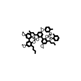 CCCCc1cc(OC)cc(-c2cc(OC)cc(CCCC)c2Op2oc3ccc(OC)cc3c3cc(OC)cc(CCCC)c3o2)c1OP(Oc1ccccc1C)Oc1ccccc1C